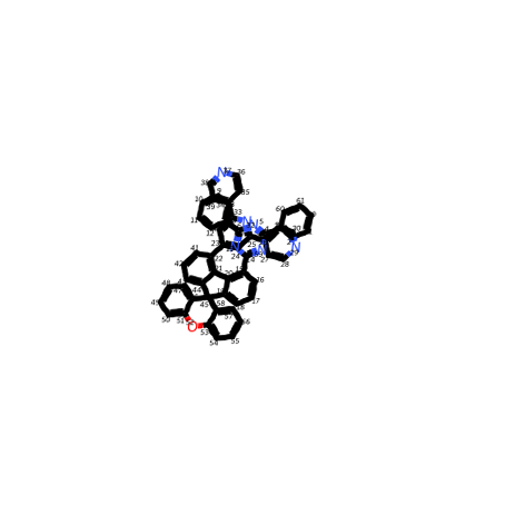 c1ccc(-c2nc(-c3ccccc3)nc(-c3cccc4c3-c3c(-c5cc(-c6ccncc6)nc(-c6ccncc6)c5)cccc3C43c4ccccc4Oc4ccccc43)n2)cc1